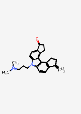 C=C1CCc2c1ccc1c2c2c3c(ccc2n1CCCN(C)C)C(=O)CC3